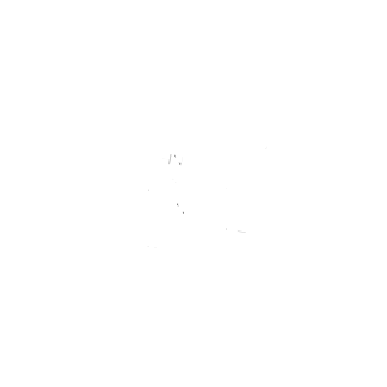 CC1c2ccccc2NC(=O)N1C1CC1